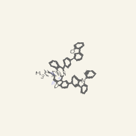 C\C=C/C=c1/oc2ccc(-c3ccc4c(c3)c3ccccc3n4-c3ccccc3)cc2/c1=C1\N=C(c2ccc(-c3cccc4c3oc3ccccc34)cc2)c2ccccc2N1C